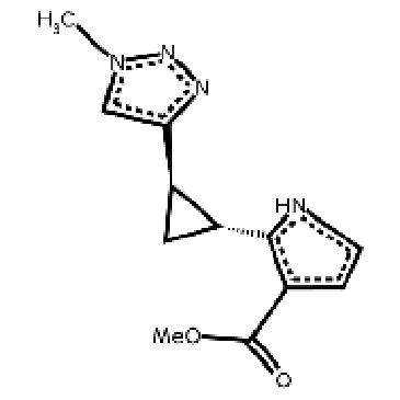 COC(=O)c1cc[nH]c1[C@@H]1C[C@H]1c1cn(C)nn1